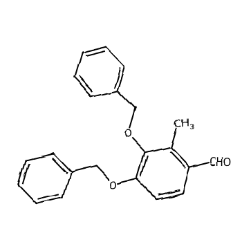 Cc1c(C=O)ccc(OCc2ccccc2)c1OCc1ccccc1